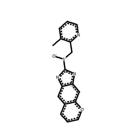 Cc1cccnc1C[S+]([O-])c1nc2cc3cccoc3cc2n1